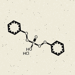 Cl.O=P(O)(OOc1ccccc1)OOc1ccccc1